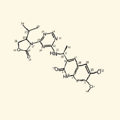 COc1cc2[nH]c(=O)c([C@H](C)Nc3ncnc(N4C(=O)OCC4C(C)C)n3)cc2cc1Cl